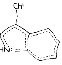 [CH]c1c[nH]c2ccccc12